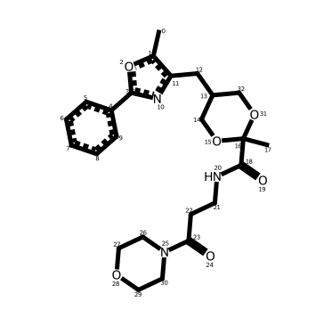 Cc1oc(-c2ccccc2)nc1CC1COC(C)(C(=O)NCCC(=O)N2CCOCC2)OC1